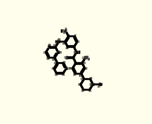 Cc1ccc(NC(=O)c2ccc(C3CCCN(C(C)C)C3)cc2C(F)(F)F)cc1Nc1nccc(-c2cccnc2)n1